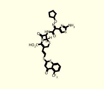 Nc1nc(C(=NOC2CCCC2)C(=O)NC2C(=O)N3C(C(=O)O)=C(C=CSc4cc(=O)c5c(C(F)(F)F)cccc5s4)CS[C@@H]23)cs1